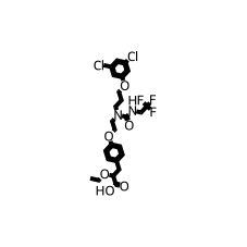 CCOC(Cc1ccc(OCCN(CCCOc2cc(Cl)cc(Cl)c2)C(=O)NCC(F)(F)F)cc1)C(=O)O